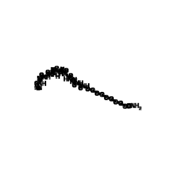 Cn1cc(NC(=O)c2nc(NC(=O)CCNC(=O)c3cc(NC(=O)c4nccn4C)cn3C)cn2C)cc1C(=O)NCCC(=O)Nc1cn(C)c(C(=O)NCCC(=O)NCCOCCOCCOCCOCCOCCOCCOCCOCCOc2ccc(N)cc2)n1